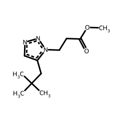 COC(=O)CCn1nncc1CC(C)(C)C